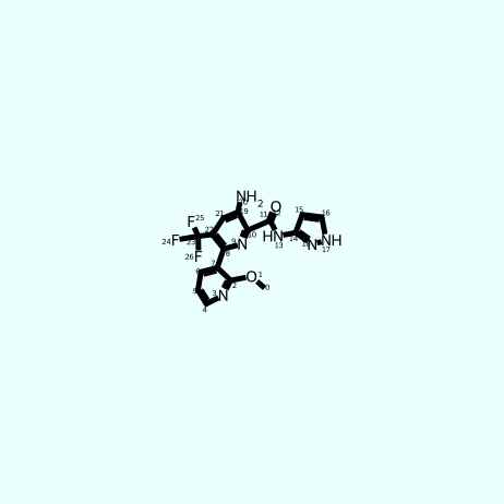 COc1ncccc1-c1nc(C(=O)Nc2cc[nH]n2)c(N)cc1C(F)(F)F